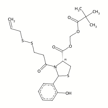 C=CCSSCCC(=O)N1C(c2ccccc2O)SC[C@H]1C(=O)OCOC(=O)C(C)(C)C